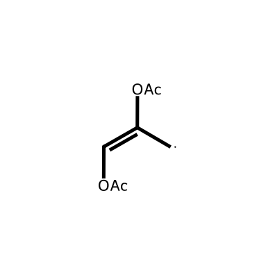 [CH2]C(=COC(C)=O)OC(C)=O